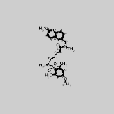 COc1cc(C)c(S(=O)(=O)N(C)CCOCC(=O)N(C)Cc2ccc3nc(N)ccc3c2)c(C)c1